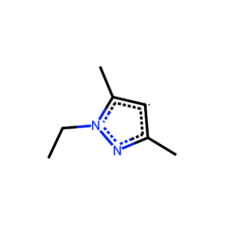 CCn1nc(C)[c]c1C